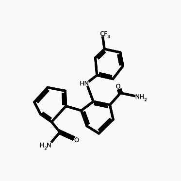 NC(=O)c1ccccc1-c1cccc(C(N)=O)c1Nc1cccc(C(F)(F)F)c1